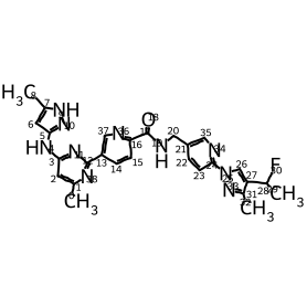 Cc1cc(Nc2cc(C)[nH]n2)nc(-c2ccc(C(=O)NCc3ccc(-n4cc(C(C)F)c(C)n4)nc3)nc2)n1